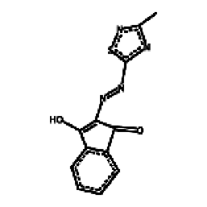 Cc1nsc(/N=N/C2=C(O)c3ccccc3C2=O)n1